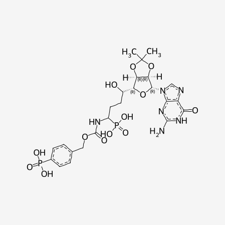 CC1(C)O[C@@H]2[C@H](O1)[C@@H](C(O)CCC(NC(=O)OCc1ccc(P(=O)(O)O)cc1)P(=O)(O)O)O[C@H]2n1cnc2c(=O)[nH]c(N)nc21